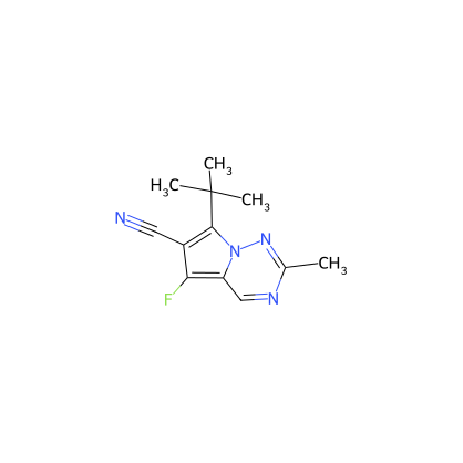 Cc1ncc2c(F)c(C#N)c(C(C)(C)C)n2n1